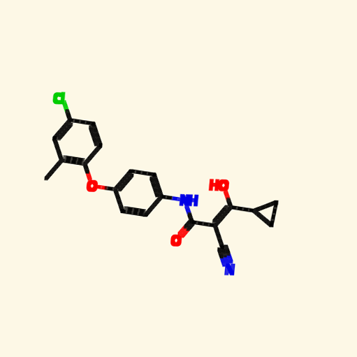 Cc1cc(Cl)ccc1Oc1ccc(NC(=O)C(C#N)=C(O)C2CC2)cc1